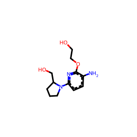 Nc1ccc(N2CCCC2CO)nc1OCCO